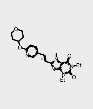 CCn1c(=O)c2c(nc(/C=C/c3ccc(OC4CCOCC4)nc3)n2C)n(CC)c1=O